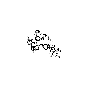 COc1ccc(CN2C(=O)CCN(c3cnn4ccc(CN5CCN(C(=O)OC(C)(C)C)[C@@H](C)C5)cc34)C2=O)c(OC)c1